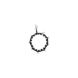 Clc1cccccccs1